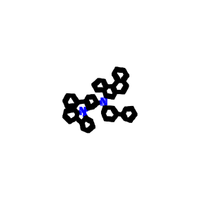 C1=CC2c3ccccc3N(c3cc(N(c4cccc(-c5ccccc5)c4)c4cc5ccc6ccccc6c5c5ccccc45)ccc3-c3ccccc3)C2C=C1